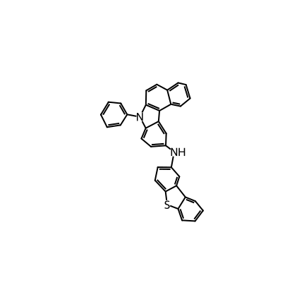 c1ccc(-n2c3ccc(Nc4ccc5sc6ccccc6c5c4)cc3c3c4ccccc4ccc32)cc1